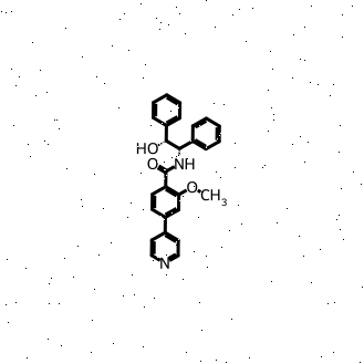 COc1cc(-c2ccncc2)ccc1C(=O)N[C@@H](c1ccccc1)[C@H](O)c1ccccc1